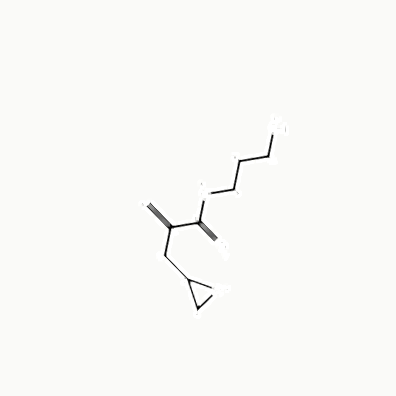 C=C(CC1CO1)C(=O)OCCCO